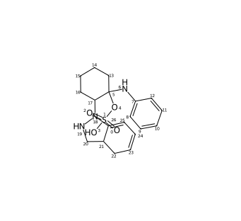 O=S(=O)(O)OC1(Nc2ccccc2)CCCCC1N1NCC2CC=CC=C21